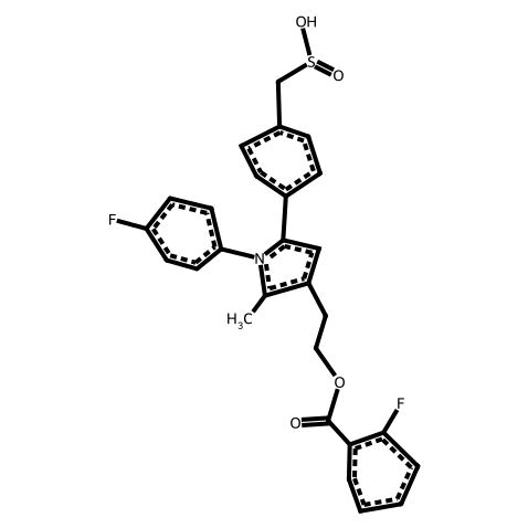 Cc1c(CCOC(=O)c2ccccc2F)cc(-c2ccc(CS(=O)O)cc2)n1-c1ccc(F)cc1